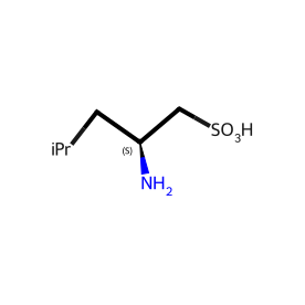 CC(C)C[C@H](N)CS(=O)(=O)O